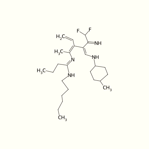 C=CC(/C(=C/NC1CCC(C)CC1)C(=N)C(F)F)=C(C)/N=C(\CCC)NCCCCCC